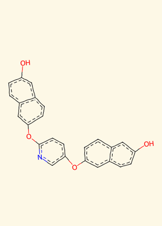 Oc1ccc2cc(Oc3ccc(Oc4ccc5cc(O)ccc5c4)nc3)ccc2c1